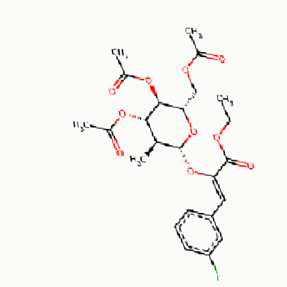 CCOC(=O)/C(=C/c1cccc(F)c1)O[C@H]1O[C@@H](COC(C)=O)[C@H](OC(C)=O)[C@@H](OC(C)=O)[C@@H]1C